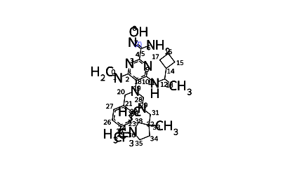 C=Nc1nc(/C(N)=N/O)nc(NC(C)C2CCC2)c1N(Cc1ccc(C(F)(F)F)cc1)CN(C)CC1(C)CCN(C)C1